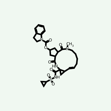 CN1CCCC/C=C/C2CC2(C(=O)NS(=O)(=O)C2CC2)NC(=O)C2CC(OC(=O)N3CCc4ccccc43)CC2C1=O